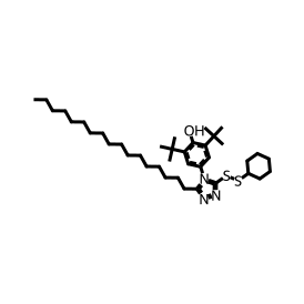 CCCCCCCCCCCCCCCCCc1nnc(SSC2CCCCC2)n1-c1cc(C(C)(C)C)c(O)c(C(C)(C)C)c1